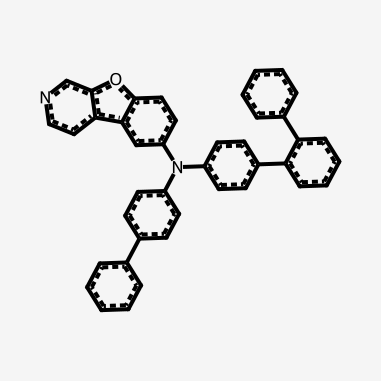 c1ccc(-c2ccc(N(c3ccc(-c4ccccc4-c4ccccc4)cc3)c3ccc4oc5cnccc5c4c3)cc2)cc1